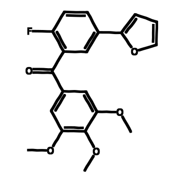 COc1cc(C(=O)c2cc(-c3ccco3)ccc2F)cc(OC)c1OC